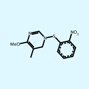 [CH2]C1=C(OC)N=CN(Sc2ccccc2[N+](=O)[O-])C1